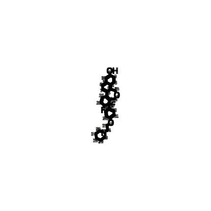 Oc1ccc2c3c(ccc2c1)C1=C(COC3)C(F)(c2ccc(OCCN3CCCCC3)cc2)C(F)C=C1